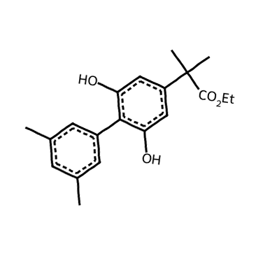 CCOC(=O)C(C)(C)c1cc(O)c(-c2cc(C)cc(C)c2)c(O)c1